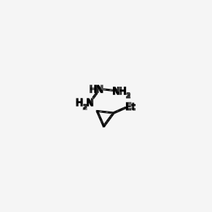 CCC1CC1.NNN